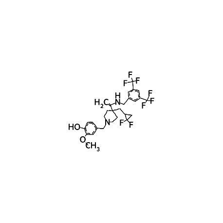 C=C(NCc1cc(C(F)(F)F)cc(C(F)(F)F)c1)C1(CC2CC2(F)F)CCN(Cc2ccc(O)c(OC)c2)CC1